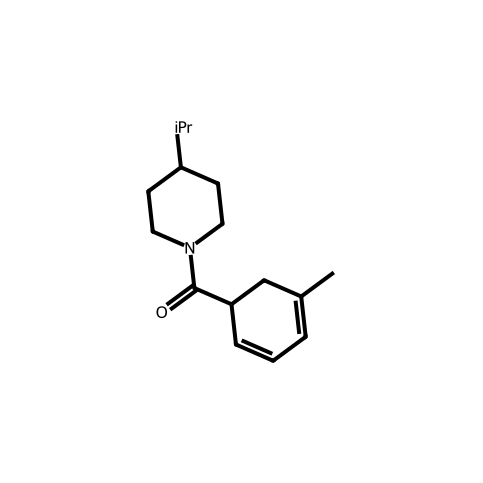 CC1=CC=CC(C(=O)N2CCC(C(C)C)CC2)C1